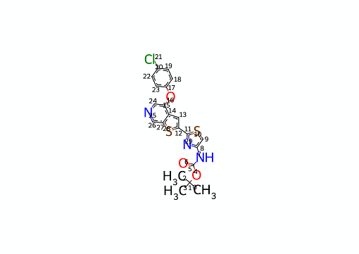 CC(C)(C)OC(=O)Nc1csc(-c2cc3c(Oc4ccc(Cl)cc4)cncc3s2)n1